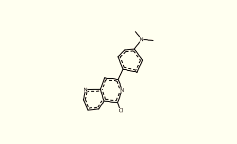 CN(C)c1ccc(-c2cc3ncccc3c(Cl)n2)cc1